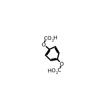 O=C(O)Oc1ccc(OC(=O)O)cc1